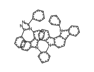 c1ccc(-c2nnc(-c3ccccc3)n2-c2cccc3c2c2ccccc2n3-c2ccccc2-n2c3ccccc3c3c2ccc2c4ccccc4n(-c4ccccc4)c23)cc1